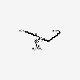 CCCCC/C=C\CCCCCCC/C=C\CCCC(=O)O[C@H](COC(=O)CCCCCCCCCCCCCCCCC)COP(=O)([O-])OCC[N+](C)(C)C